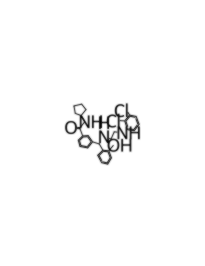 O=C(NC1CCCC1)c1cccc(C(NCCNc2cccc(Cl)c2Cl)c2ccccc2O)c1